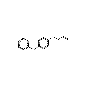 C=C[CH]Oc1ccc(Oc2ccccn2)cc1